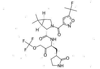 CC(C)(F)c1cc(C(=O)N2C[C@H]3[C@@H]([C@H]2C(=O)N[C@@H](C[C@@H]2CCNC2=O)C(=O)COC(F)(F)F)C3(C)C)no1